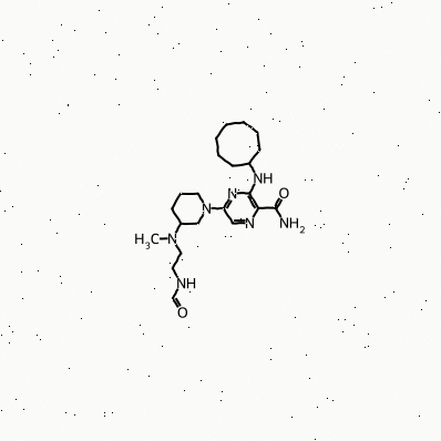 CN(CCNC=O)C1CCCN(c2cnc(C(N)=O)c(NC3CCCCCCC3)n2)C1